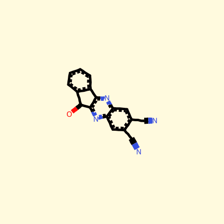 N#Cc1cc2nc3c(nc2cc1C#N)-c1ccccc1C3=O